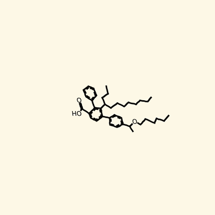 CCCCCCCCC(CCC)c1c(-c2ccc(C(C)OCCCCCC)cc2)ccc(C(=O)O)c1-c1ccccc1